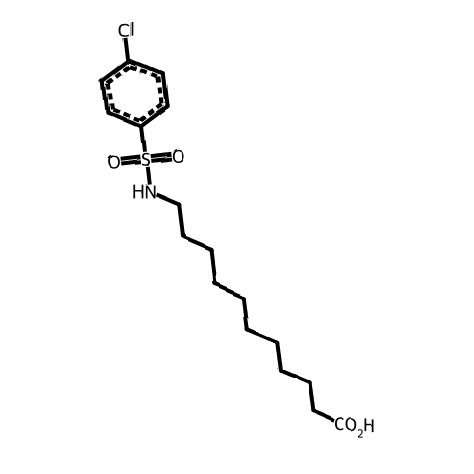 O=C(O)CCCCCCCCCCNS(=O)(=O)c1ccc(Cl)cc1